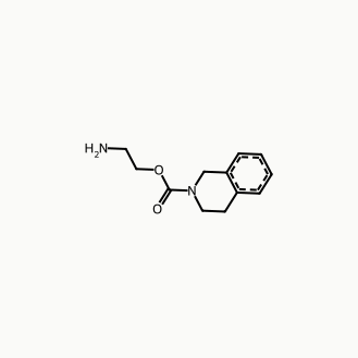 NCCOC(=O)N1CCc2ccccc2C1